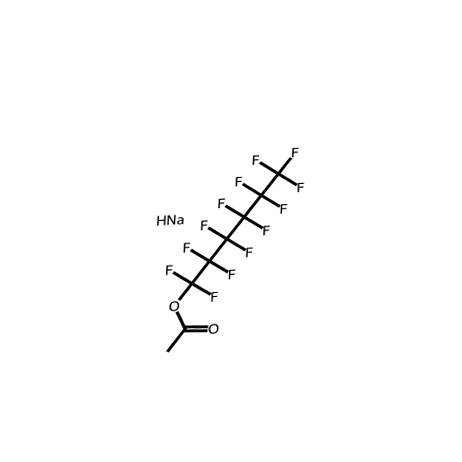 CC(=O)OC(F)(F)C(F)(F)C(F)(F)C(F)(F)C(F)(F)C(F)(F)F.[NaH]